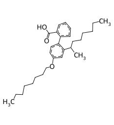 CCCCCCCCOc1ccc(-c2ccccc2C(=O)O)c(C(C)CCCCCC)c1